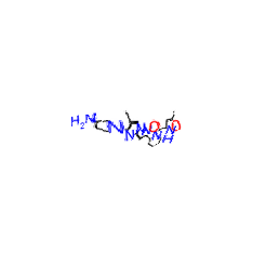 Cc1cn2nc([C@@H]3CCCCN3C(=O)C3CC(C)ON3)cc2nc1N1CC[C@H](N)C1